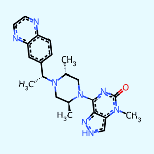 C[C@@H]1CN(c2nc(=O)n(C)c3c[nH]nc23)[C@@H](C)CN1[C@H](C)c1ccc2nccnc2c1